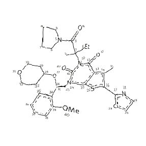 CCC(C)(C(=O)N1CCCC1)n1c(=O)c2c(C)c(-c3ncco3)sc2n(C[C@H](OC2CCOCC2)c2ccccc2OC)c1=O